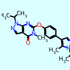 CCn1ncc(-c2ccc(Oc3nc4c(cnn4C(C)C)c(=O)n3C)cc2)c1C